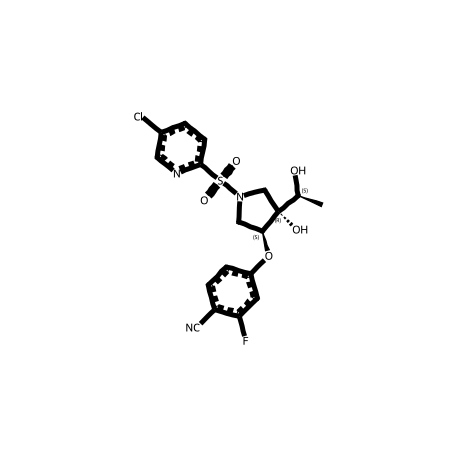 C[C@H](O)[C@]1(O)CN(S(=O)(=O)c2ccc(Cl)cn2)C[C@@H]1Oc1ccc(C#N)c(F)c1